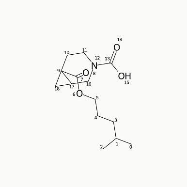 CC(C)CCCOC(=O)C12CCN(C(=O)O)CC1C2